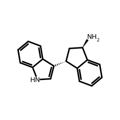 N[C@@H]1C[C@@H](c2c[nH]c3ccccc23)c2ccccc21